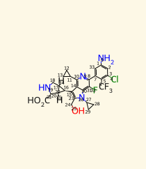 Nc1cc(Cl)c(C(F)(F)F)c(-c2nc(C3CC3)c3c([C@@H]4[C@H]5CN[C@H](C(=O)O)[C@H]54)c(CO)n(C4CC4)c3c2F)c1